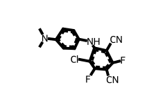 CN(C)c1ccc(Nc2c(Cl)c(F)c(C#N)c(F)c2C#N)cc1